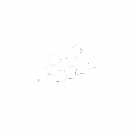 O=C(O)c1cn2c(c(O)c1=O)C(=O)N(CC1CC1)CN2C1c2ccccc2CCc2ccccc21